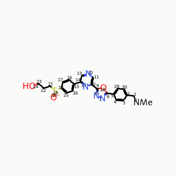 CNCc1ccc(-c2nnc(-c3cncc(-c4ccc([S+]([O-])CCCO)cc4)n3)o2)cc1